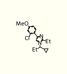 CCc1nc(-c2ccc(OC)cc2Cl)cn1C(CC)C1CC1